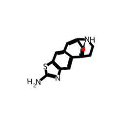 Nc1nc2cc3c(cc2s1)C=C1NCCC32CC=CC=C12